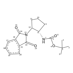 CC(C)(C)OC(=O)N[C@H]1CCCC1N1C(=O)c2ccccc2C1=O